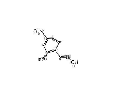 CCCCc1cc([N+](=O)[O-])ccc1C=NO